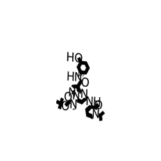 CC(C)n1cccc(Nc2cc(N(C)C(=O)OC(C)(C)C)n3ncc(C(=O)N[C@H]4CCCC(O)C4)c3n2)c1=O